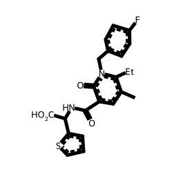 CCc1c(C)cc(C(=O)NC(C(=O)O)c2cccs2)c(=O)n1Cc1ccc(F)cc1